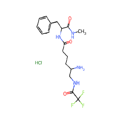 CNC(=O)C(Cc1ccccc1)NC(=O)CCCC(N)CNC(=O)C(F)(F)F.Cl